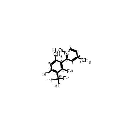 [CH2-][n+]1ccc(C)cc1-c1c(C)cc(F)c(C(F)(F)F)c1F